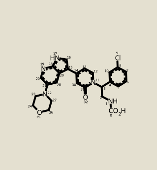 O=C(O)NCC(c1cccc(Cl)c1)n1ccc(-c2c[nH]c3ncc(N4CCOCC4)cc23)cc1=O